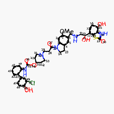 COc1cc2c(cc1CNC[C@H](O)c1ccc(O)c3[nH]c(=O)sc13)CCN2C(=O)CCN1CCC(OC(=O)Nc2ccccc2-c2ccc(O)c(Cl)c2)CC1